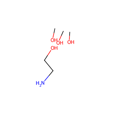 CO.CO.CO.NCCO